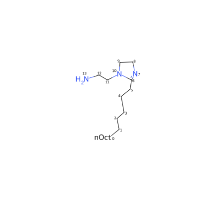 CCCCCCCCCCCCCC1=NCCN1CCN